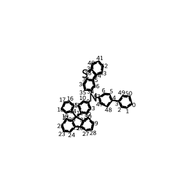 c1ccc(-c2ccc(N(c3ccc(C4(c5ccccc5)c5ccccc5-c5ccccc54)cc3)c3ccc4sc5ccccc5c4c3)cc2)cc1